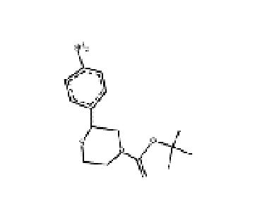 C=C(OC(C)(C)C)N1CCSC(c2ccc(N)cc2)C1